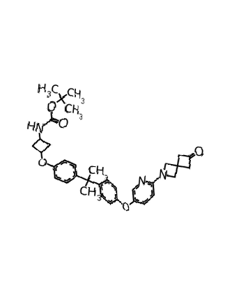 CC(C)(C)OC(=O)NC1CC(Oc2ccc(C(C)(C)c3ccc(Oc4ccc(N5CC6(CC(=O)C6)C5)nc4)cc3)cc2)C1